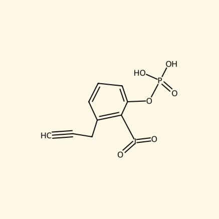 C#CCc1cccc(OP(=O)(O)O)c1I(=O)=O